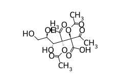 CC(=O)O[C@@](C(C)=O)(C(=O)O)[C@](OC(C)=O)(C(C)=O)[C@H](O)[C@H](O)CO